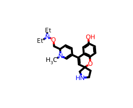 CCN(CC)OCC1C=CC(C2=CC3(CCNC3)Oc3ccc(O)cc32)=CN1C